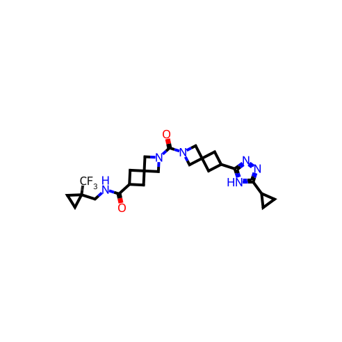 O=C(NCC1(C(F)(F)F)CC1)C1CC2(C1)CN(C(=O)N1CC3(CC(c4nnc(C5CC5)[nH]4)C3)C1)C2